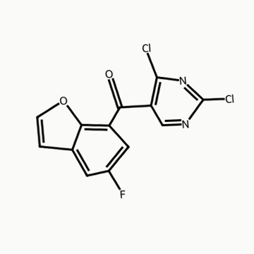 O=C(c1cnc(Cl)nc1Cl)c1cc(F)cc2ccoc12